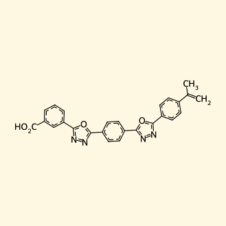 C=C(C)c1ccc(-c2nnc(-c3ccc(-c4nnc(-c5cccc(C(=O)O)c5)o4)cc3)o2)cc1